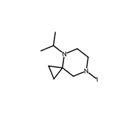 CC(C)N1CCN(I)CC12CC2